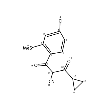 CSc1cc(Cl)ccc1C(=O)C(C#N)C(=O)C1CC1